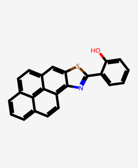 Oc1ccccc1-c1nc2c(cc3ccc4cccc5ccc2c3c45)s1